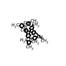 CCCCCCc1ccc(C2(c3ccc(C)cc3)c3cc(N(c4ccc(C)cc4)c4c(C)cc(C)cc4C)ccc3-c3ccc(N(c4ccc(C)cc4)c4c(C)cc(C)cc4C)cc32)cc1